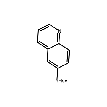 CCCCCCc1ccc2ncccc2c1